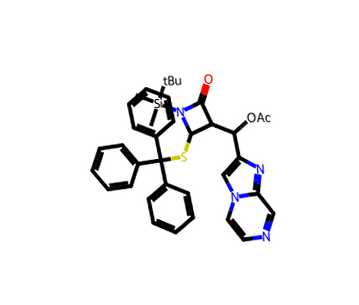 CC(=O)OC(c1cn2ccncc2n1)C1C(=O)N([Si](C)(C)C(C)(C)C)C1SC(c1ccccc1)(c1ccccc1)c1ccccc1